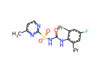 Cc1ccnc(S(=O)(=O)NC(=O)Nc2c(C(C)C)cc(F)cc2C(C)C)n1